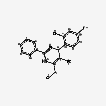 CC(=O)C1=C(CCl)NC(c2ccccn2)=NC1c1ccc(F)cc1Cl